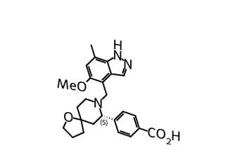 COc1cc(C)c2[nH]ncc2c1CN1CCC2(CCCO2)C[C@H]1c1ccc(C(=O)O)cc1